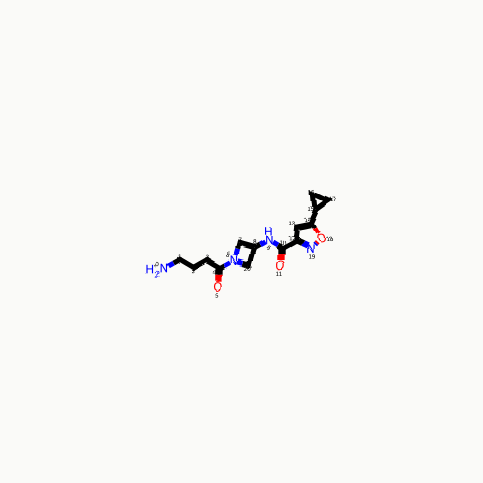 NCCCC(=O)N1CC(NC(=O)c2cc(C3CC3)on2)C1